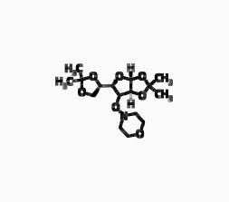 CC1(C)OC[C@H]([C@H]2O[C@@H]3OC(C)(C)O[C@H]3C2ON2CCOCC2)O1